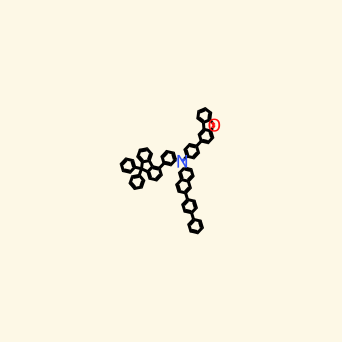 c1ccc(-c2ccc(-c3ccc4cc(N(c5ccc(-c6ccc7oc8ccccc8c7c6)cc5)c5cccc(-c6cccc7c6-c6ccccc6C7(c6ccccc6)c6ccccc6)c5)ccc4c3)cc2)cc1